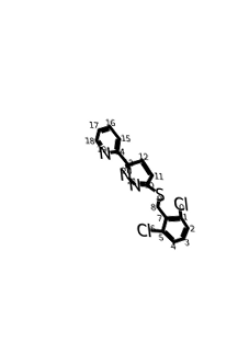 Clc1cccc(Cl)c1CSc1ccc(-c2ccccn2)nn1